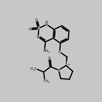 CC(C)C(=O)N1CCC[C@@H]1COc1cccc2c1C(N)=NS(=O)(=O)N2